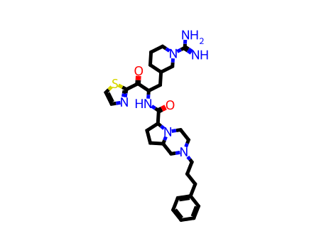 N=C(N)N1CCCC(CC(NC(=O)C2CCC3CN(CCCc4ccccc4)CCN32)C(=O)c2nccs2)C1